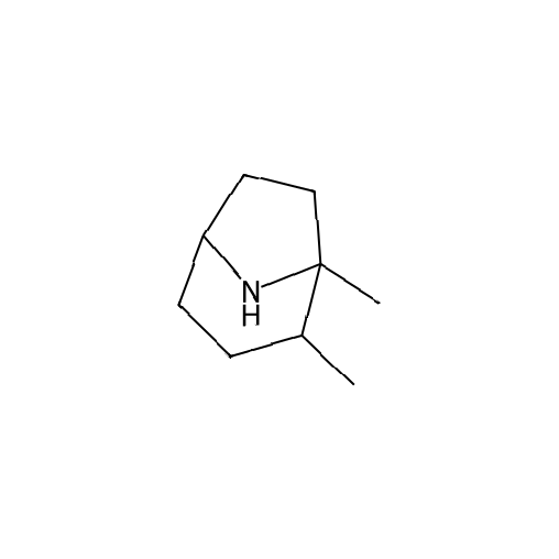 CC1CCC2CCC1(C)N2